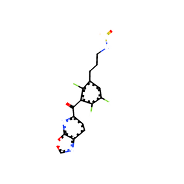 O=C(c1ccc2ncoc2n1)c1c(F)c(F)cc(CCCN[SH](=O)=O)c1F